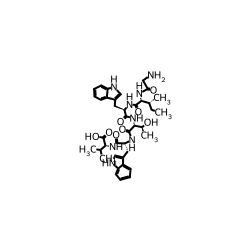 CC[C@@H](C)[C@@H](NC(=O)CN)C(=O)N[C@H](Cc1c[nH]c2ccccc12)C(=O)N[C@@H](C(=O)N[C@H](Cc1c[nH]c2ccccc12)C(=O)N[C@@H](C(=O)O)C(C)C)[C@H](C)O